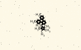 CC1=C(C)C(C)C([SiH2]c2cccc(-c3ccc(C)cc3)c2-c2ccc(C)cc2)=C1C